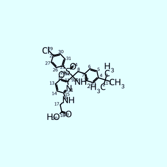 CC(C)(C)c1ccc(CC(N)(c2cccc(NCC(=O)O)n2)S(=O)(=O)c2ccc(Cl)cc2)cc1